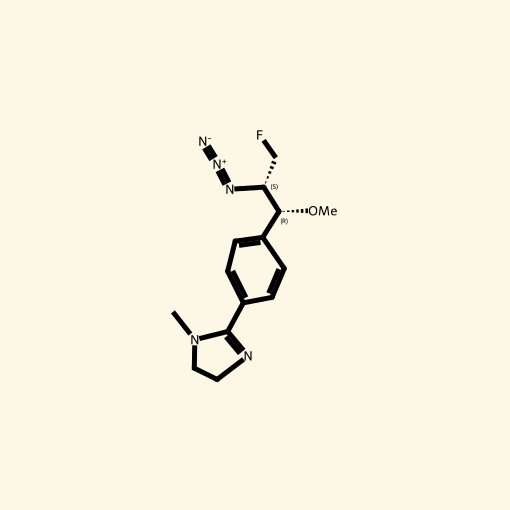 CO[C@H](c1ccc(C2=NCCN2C)cc1)[C@@H](CF)N=[N+]=[N-]